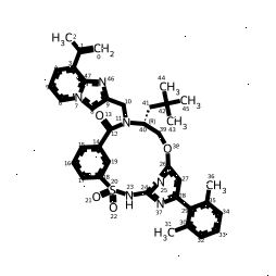 C=C(C)c1cccn2cc(CN3C(=O)c4cccc(c4)S(=O)(=O)Nc4nc(cc(-c5c(C)cccc5C)n4)OC[C@H]3CC(C)(C)C)nc12